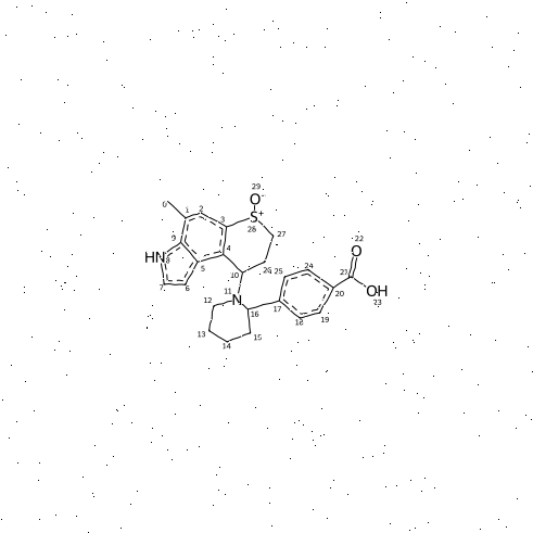 Cc1cc2c(c3cc[nH]c13)C(N1CCCCC1c1ccc(C(=O)O)cc1)CC[S+]2[O-]